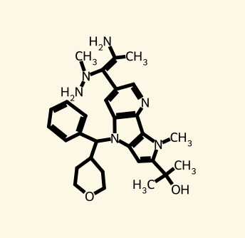 C/C(N)=C(\c1cnc2c3c(cc(C(C)(C)O)n3C)n(C(c3ccccc3)C3CCOCC3)c2c1)N(C)N